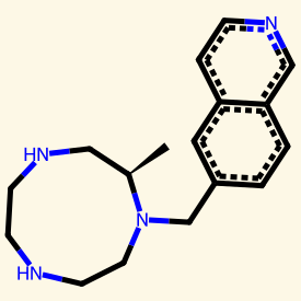 C[C@@H]1CNCCNCCN1Cc1ccc2cnccc2c1